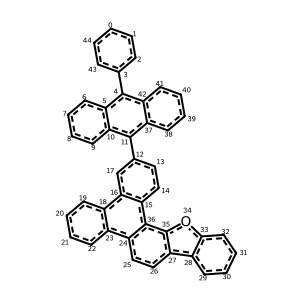 c1ccc(-c2c3ccccc3c(-c3ccc4c(c3)c3ccccc3c3ccc5c6ccccc6oc5c34)c3ccccc23)cc1